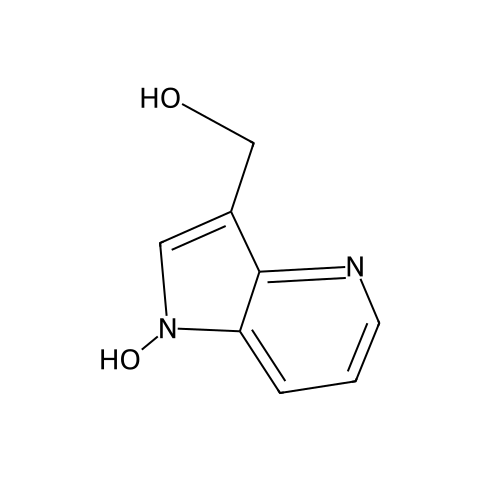 OCc1cn(O)c2cccnc12